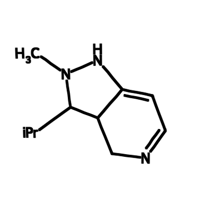 CC(C)C1C2CN=CC=C2NN1C